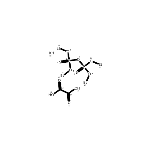 CCOP(=S)(OCC)OP(=S)(OCC)OCC.O=C(O)C(=O)O.[KH]